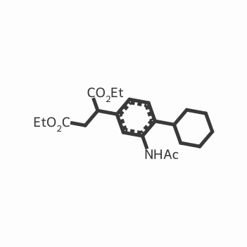 CCOC(=O)CC(C(=O)OCC)c1ccc(C2CCCCC2)c(NC(C)=O)c1